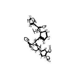 COc1ccc(C2=NN(Cc3ccccc3NC(=O)c3cnco3)C(=O)SC2)cc1OC